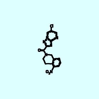 O=C(c1cc2ncc(Cl)cn2n1)N1CCc2c(cccc2[N+](=O)[O-])C1